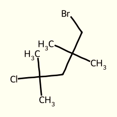 CC(C)(Cl)CC(C)(C)CBr